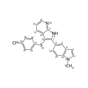 Cn1ccc2cc(-c3[nH]c4ncccc4c3Sc3ccc(Cl)cc3)ccc21